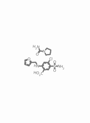 NC(=O)N1CCCC1.NS(=O)(=O)c1cc(C(=O)O)c(NCc2ccco2)cc1Cl